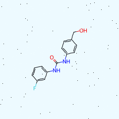 O=C(Nc1ccc(CO)cc1)Nc1cccc(F)c1